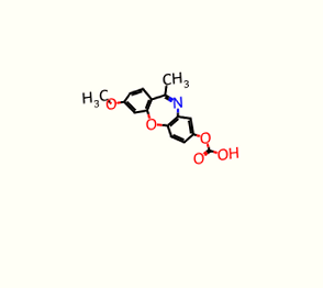 COc1ccc2c(c1)Oc1ccc(OC(=O)O)cc1N=C2C